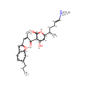 CC(=Cc1cc2ccc(CCC(F)(F)F)cc2o1)C(=O)c1c(O)cc(C(C)CCC=CNC(=O)O)oc1=O